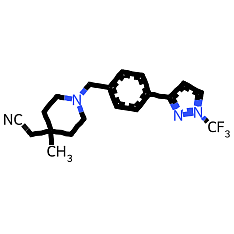 CC1(CC#N)CCN(Cc2ccc(-c3ccn(C(F)(F)F)n3)cc2)CC1